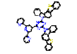 C1=Cc2c(n(-c3nc(-c4cc(-c5ccccn5)nc(-c5ccccn5)c4)nc(-n4c5ccccc5c5c6sc7ccccc7c6ccc54)n3)c3ccc4c5ccccc5sc4c23)CC1